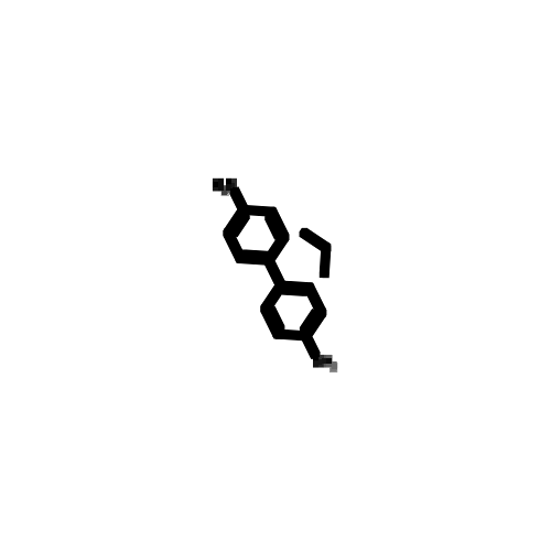 CCC.Nc1ccc(-c2ccc(N)cc2)cc1